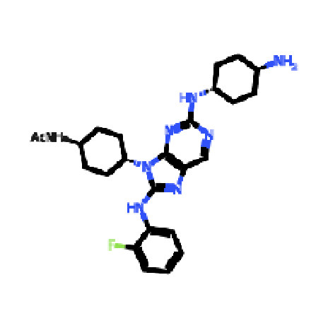 CC(=O)N[C@H]1CC[C@H](n2c(Nc3ccccc3F)nc3cnc(N[C@H]4CC[C@H](N)CC4)nc32)CC1